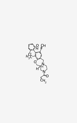 C#Cc1cc2c(c(C)c1-c1c(O)cccc1Cl)OC[C@H]1CN(C(=O)C=C)CCN1C2